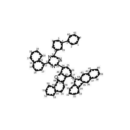 c1ccc(-c2cccc(-c3nc(-c4cccc5ccccc45)nc(-c4ccc(-n5c6ccccc6c6cc7ccccc7cc65)c5c4oc4c6ccccc6ccc45)n3)c2)cc1